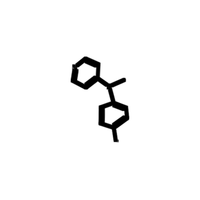 [CH2]c1ccc(N(C)c2ccncc2)cc1